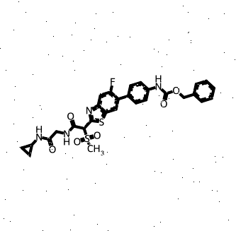 CS(=O)(=O)C(C(=O)NCC(=O)NC1CC1)c1nc2cc(F)c(-c3ccc(NC(=O)OCc4ccccc4)cc3)cc2s1